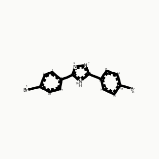 Brc1ccc(-c2nnc(-c3ccc(Br)cc3)[nH]2)cc1